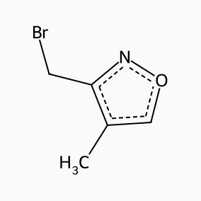 Cc1conc1CBr